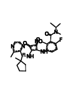 Cc1nccnc1[C@H](Nc1c(Nc2ccc(F)c(C(=O)N(C)C(C)C)c2O)c(=O)c1=O)C1(C)CCCC1